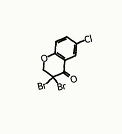 O=C1c2cc(Cl)ccc2OCC1(Br)Br